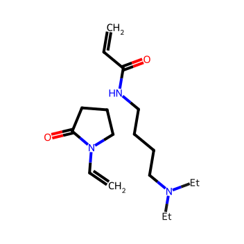 C=CC(=O)NCCCCN(CC)CC.C=CN1CCCC1=O